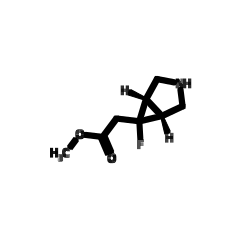 COC(=O)CC1(F)[C@@H]2CNC[C@@H]21